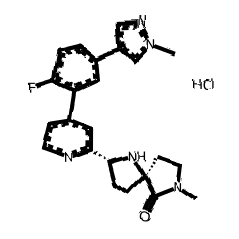 CN1CC[C@@]2(CC[C@H](c3cc(-c4cc(-c5cnn(C)c5)ccc4F)ccn3)N2)C1=O.Cl